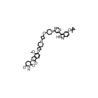 COc1c(N2CC3(CCN(C4CC(OC5CCN(c6cc(-c7[nH]nc8ccc(OC9(C)CC9)cc78)ncn6)CC5)C4)CC3)C2)ccc2c1CN(C1CCC(=O)NC1=O)C2=O